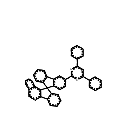 c1ccc(-c2cc(-c3ccccc3)nc(-c3ccc4c(c3)-c3ccccc3C43c4ccccc4-c4ncc5ccccc5c43)n2)cc1